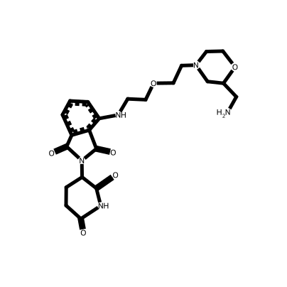 NCC1CN(CCOCCNc2cccc3c2C(=O)N(C2CCC(=O)NC2=O)C3=O)CCO1